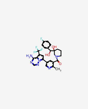 Cc1ncc(-c2cc(C(F)(F)F)c3c(N)ncnn23)cc1C(=O)N1CCCC(O)(C(O)c2ccc(F)cc2)C1